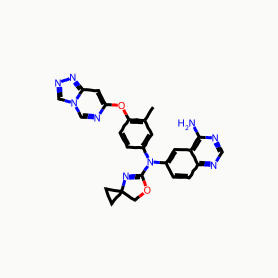 Cc1cc(N(C2=NC3(CC3)CO2)c2ccc3ncnc(N)c3c2)ccc1Oc1cc2nncn2cn1